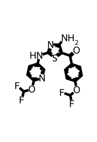 Nc1nc(Nc2ccc(OC(F)F)nc2)sc1C(=O)c1ccc(OC(F)F)cc1